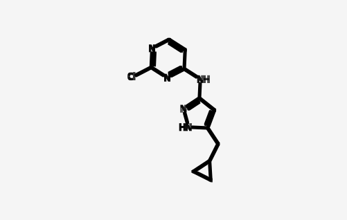 Clc1nccc(Nc2cc(CC3CC3)[nH]n2)n1